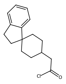 O=C(Cl)CC1CCC2(CCc3ccccc32)CC1